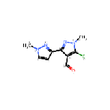 Cn1ccc(-c2nn(C)c(Cl)c2C=O)n1